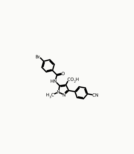 Cn1nc(-c2ccc(C#N)cc2)c(C(=O)O)c1NC(=O)c1ccc(Br)cc1